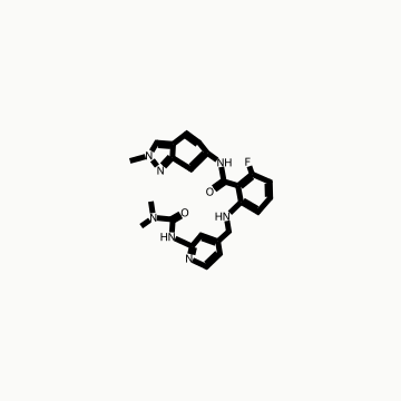 CN(C)C(=O)Nc1cc(CNc2cccc(F)c2C(=O)Nc2ccc3cn(C)nc3c2)ccn1